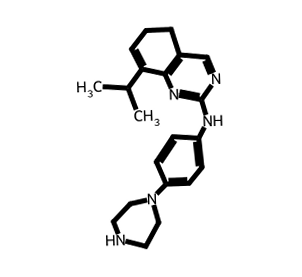 CC(C)C1=CCCc2cnc(Nc3ccc(N4CCNCC4)cc3)nc21